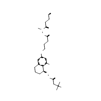 CN(OC(=O)CCCOc1cc(O)c2c(c1)CCC/C2=N\NC(=O)CC(C)(C)S)C(=O)CCC=O